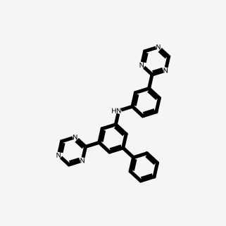 c1ccc(-c2cc(Nc3cccc(-c4ncncn4)c3)cc(-c3ncncn3)c2)cc1